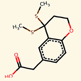 CSC1(SC)CCOc2ccc(CC(=O)O)cc21